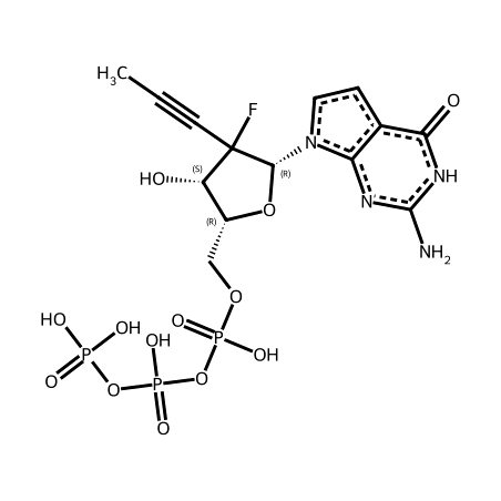 CC#CC1(F)[C@@H](O)[C@@H](COP(=O)(O)OP(=O)(O)OP(=O)(O)O)O[C@H]1n1ccc2c(=O)[nH]c(N)nc21